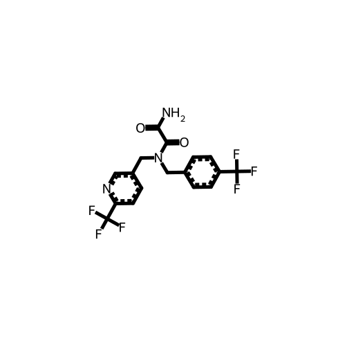 NC(=O)C(=O)N(Cc1ccc(C(F)(F)F)cc1)Cc1ccc(C(F)(F)F)nc1